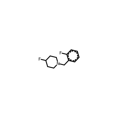 Fc1ccccc1CN1CCC(F)CC1